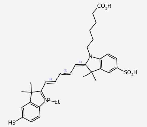 CC[N+]1=C(/C=C/C=C/C=C2/N(CCCCCC(=O)O)c3ccc(S(=O)(=O)O)cc3C2(C)C)C(C)(C)c2cc(S)ccc21